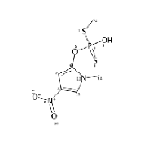 CSP(O)(=S)Oc1cc([N+](=O)[O-])cn1C